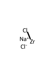 [Cl-].[Cl][Zr].[Na+]